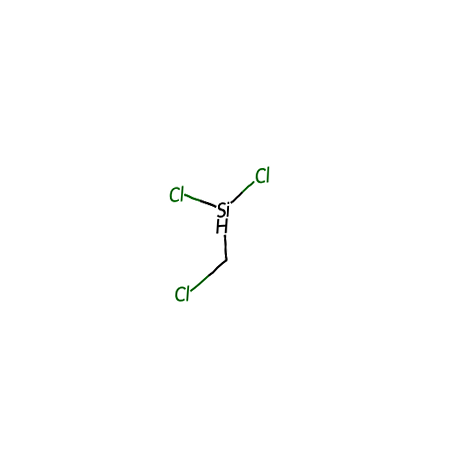 ClC[SiH](Cl)Cl